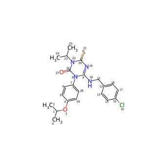 CC(C)Oc1ccc(-n2c(NCc3ccc(Cl)cc3)nc(=S)n(C(C)C)c2=O)cc1